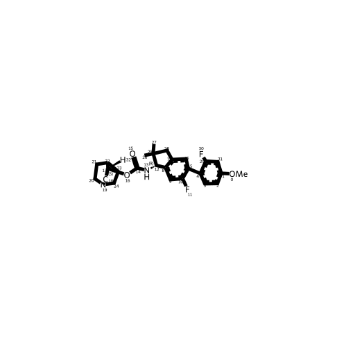 COc1ccc(-c2cc3c(cc2F)[C@H](NC(=O)O[C@@H]2CN4CCC2CC4)C(C)(C)C3)c(F)c1